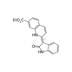 CCOC(=O)c1ccc2c(c1)N/C(=C1\C(=O)Nc3ccccc31)C=C2